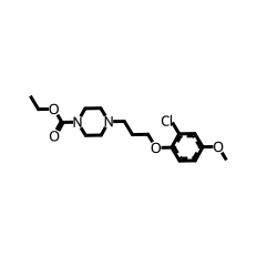 CCOC(=O)N1CCN(CCCOc2ccc(OC)cc2Cl)CC1